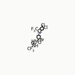 O=C(CNC(=O)c1ccc(/C(F)=C/C(c2ccc(Cl)c(Cl)c2)C(F)(F)F)cc1Br)NCC(F)(F)F